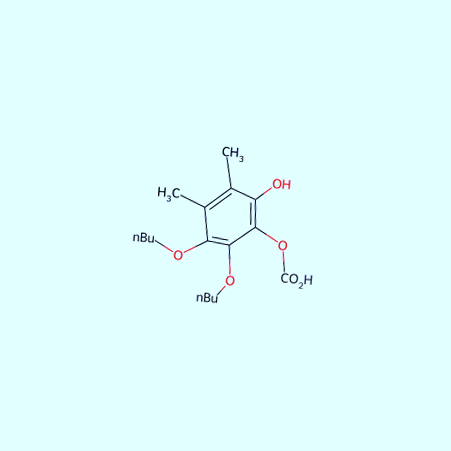 CCCCOc1c(C)c(C)c(O)c(OC(=O)O)c1OCCCC